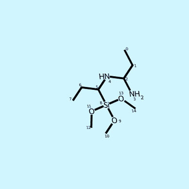 CCC(N)NC(CC)[Si](OC)(OC)OC